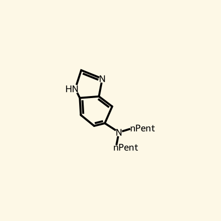 CCCCCN(CCCCC)c1ccc2[nH]cnc2c1